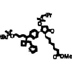 COC(=O)CCCCCC[C@H]1C(=O)C[C@@H](O[Si](C)(C)CC(C)C)[C@H]1c1ccc(C(CCCO[Si](C)(C)C(C)(C)C)C2(Cc3cccs3)CCC2)cc1